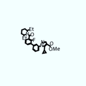 CCC1CCCC(CC)N1C(=O)c1cccc(-c2cccc(-n3ncc(C(=O)OC)c3C3CC3)c2)c1F